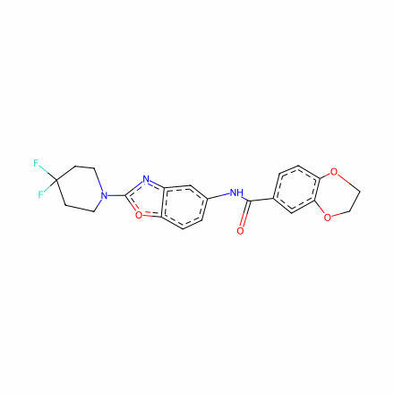 O=C(Nc1ccc2oc(N3CCC(F)(F)CC3)nc2c1)c1ccc2c(c1)OCCO2